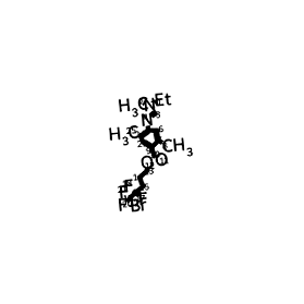 CCN(C)/C=N/c1cc(C)c(C(=O)OCCCC(F)(F)C(F)(F)Br)cc1C